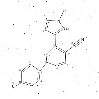 Cn1ccc(-c2cc(-c3ccc(Cl)cc3)ccc2C#N)n1